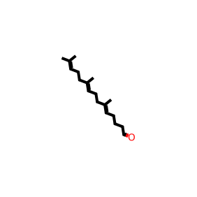 CC(C)=CCC/C(C)=C/CC/C(C)=C/CCCC=O